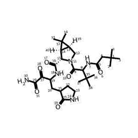 CC(C)(C)CC(=O)NC(C(=O)N1C[C@H]2[C@@H]([C@H]1C(=O)NC(CC1CCNC1=O)C(=O)C(N)=O)C2(C)C)C(C)(C)C